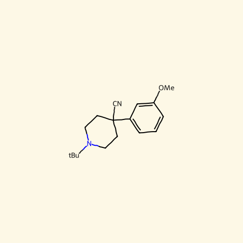 COc1cccc(C2(C#N)CCN(C(C)(C)C)CC2)c1